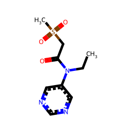 CCN(C(=O)CS(C)(=O)=O)c1cncnc1